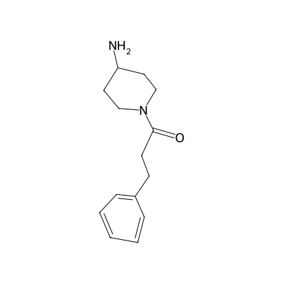 NC1CCN(C(=O)CCc2ccccc2)CC1